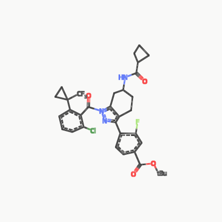 CC(C)(C)OC(=O)c1ccc(-c2nn(C(=O)c3c(Cl)cccc3C3(C(F)(F)F)CC3)c3c2CCC(NC(=O)C2CCC2)C3)c(F)c1